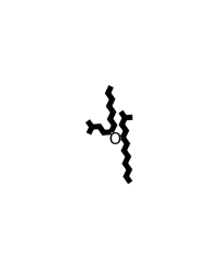 CCCCCCCC(CCC(C)C)OC(CCCCCCC)CCC(C)C